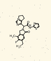 CCc1cc2c(c(C)c1F)CN(C(C(=O)Nc1nccs1)c1ncn3c1CCC3)C2=O